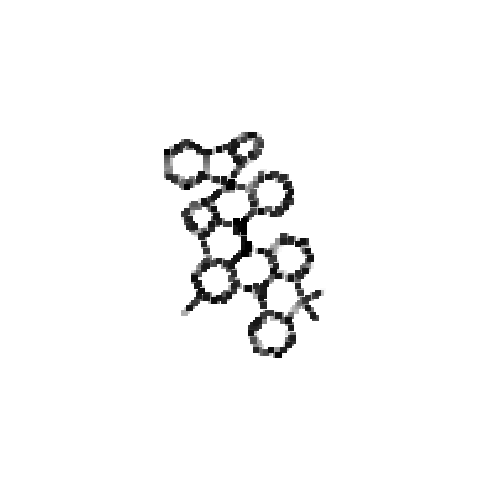 Cc1cc2c3c(c1)N1c4ccccc4C(C)(C)c4cccc(c41)B3N1c3ccccc3[Si]3(c4ccccc4-c4ccccc43)c3cccc-2c31